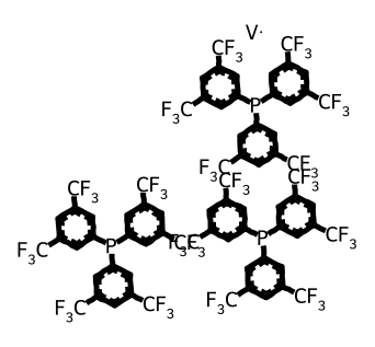 FC(F)(F)c1cc(P(c2cc(C(F)(F)F)cc(C(F)(F)F)c2)c2cc(C(F)(F)F)cc(C(F)(F)F)c2)cc(C(F)(F)F)c1.FC(F)(F)c1cc(P(c2cc(C(F)(F)F)cc(C(F)(F)F)c2)c2cc(C(F)(F)F)cc(C(F)(F)F)c2)cc(C(F)(F)F)c1.FC(F)(F)c1cc(P(c2cc(C(F)(F)F)cc(C(F)(F)F)c2)c2cc(C(F)(F)F)cc(C(F)(F)F)c2)cc(C(F)(F)F)c1.[V]